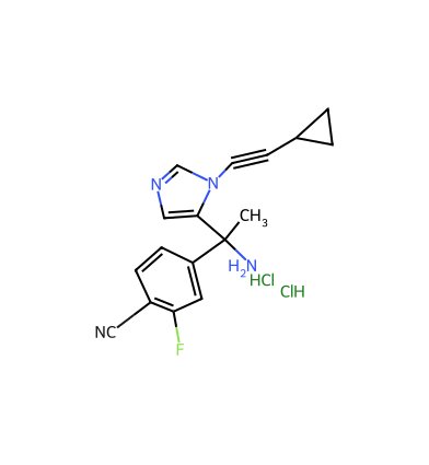 CC(N)(c1ccc(C#N)c(F)c1)c1cncn1C#CC1CC1.Cl.Cl